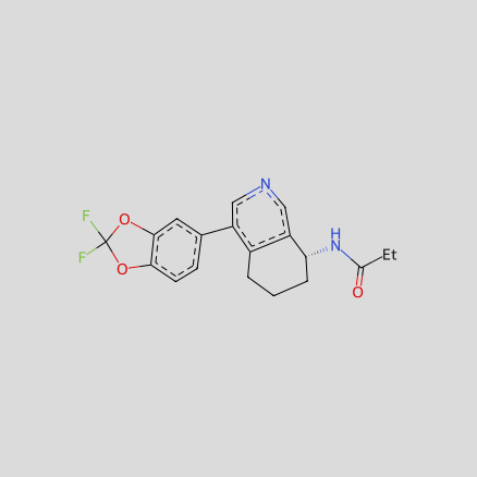 CCC(=O)N[C@@H]1CCCc2c(-c3ccc4c(c3)OC(F)(F)O4)cncc21